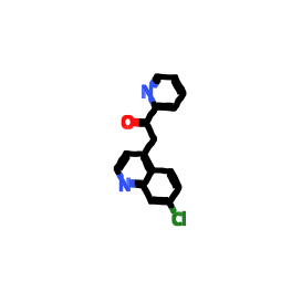 O=C(Cc1ccnc2cc(Cl)ccc12)c1ccccn1